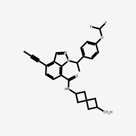 CC#Cc1ccc(C(=O)NC2CC3(C2)CC(C(=O)O)C3)c2c1cnn2C(C)c1ccc(OC(F)F)cc1